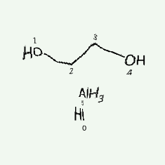 I.OCCO.[AlH3]